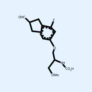 COCC(COc1cc(F)c2c(c1)CC(C=O)C2)NC(=O)O